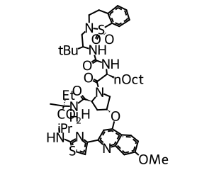 CCCCCCCC[C@H](NC(=O)NC(CN1CCc2ccccc2S1(=O)=O)C(C)(C)C)C(=O)N1C[C@H](Oc2cc(-c3csc(NC(C)C)n3)nc3cc(OC)ccc23)C[C@H]1C(=O)N[C@@](C)(CC)C(=O)O